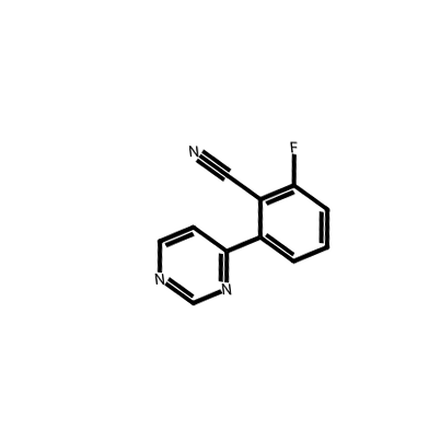 N#Cc1c(F)cccc1-c1ccncn1